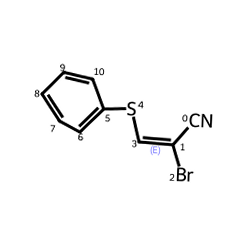 N#C/C(Br)=C\Sc1ccccc1